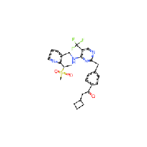 CC(c1ncccc1CNc1nc(Cc2ccc(C(=O)CC3CCC3)cc2)ncc1C(F)(F)F)S(C)(=O)=O